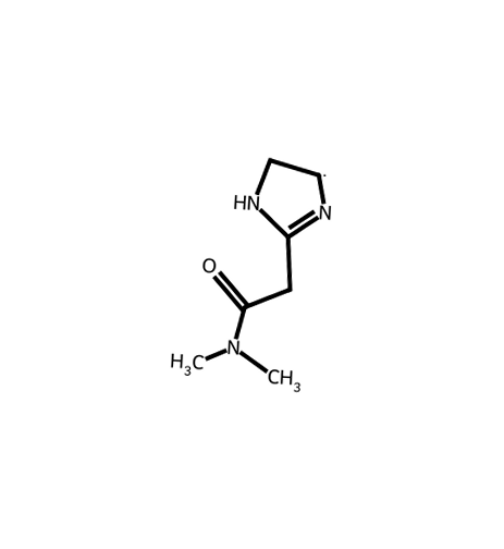 CN(C)C(=O)CC1=N[CH]CN1